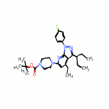 CCc1cc(N2CCN(C(=O)OC(C)(C)C)CC2)nc2c1c(C(CC)CC)nn2-c1ccc(F)cc1